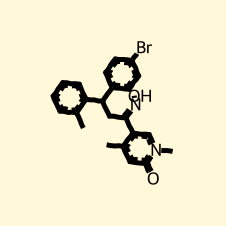 Cc1cc(=O)n(C)cc1/C(CC(c1ccc(Br)cc1)c1ccccc1C)=N/O